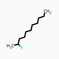 [CH2]CCCCCCCCC(C)F